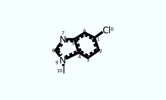 Clc1ccc2c(c1)ncn2I